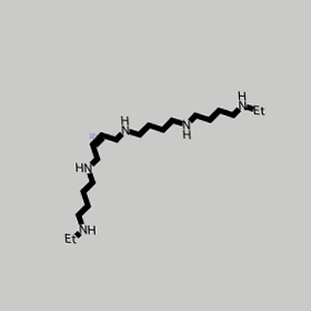 CCNCCCCNC/C=C\CNCCCCNCCCCNCC